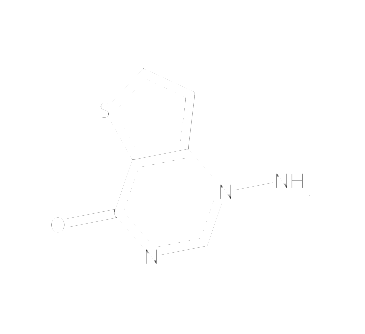 Nn1cnc(=O)c2sccc21